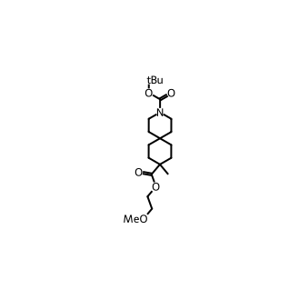 COCCOC(=O)C1(C)CCC2(CCN(C(=O)OC(C)(C)C)CC2)CC1